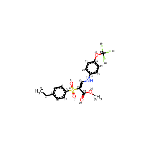 CCc1ccc(S(=O)(=O)/C(=C/Nc2ccc(OC(F)(F)F)cc2)C(=O)OC)cc1